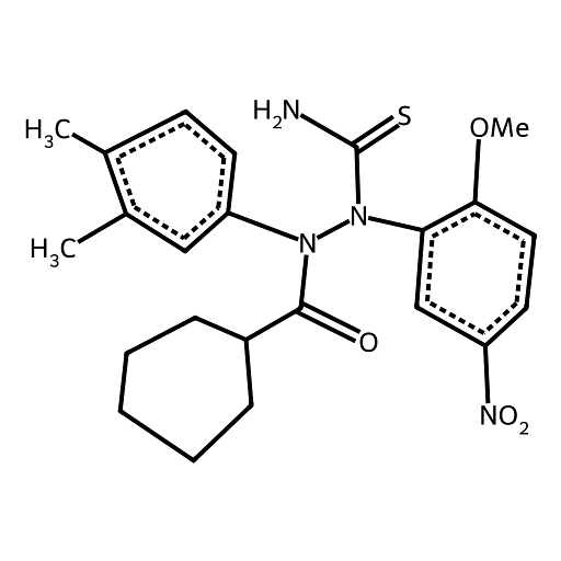 COc1ccc([N+](=O)[O-])cc1N(C(N)=S)N(C(=O)C1CCCCC1)c1ccc(C)c(C)c1